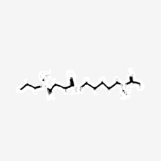 CCCN(O)C(=O)CCC(=O)NCCCCCN(O)C(C)=O